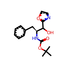 CC(C)(C)OC(=O)N[C@@H](Cc1ccccc1)C(O)c1ncco1